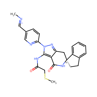 C/N=C/c1ccc(-n2nc3c(c2NC(=O)CSC)C(=O)N[C@@]2(CCc4ccccc42)C3)nc1